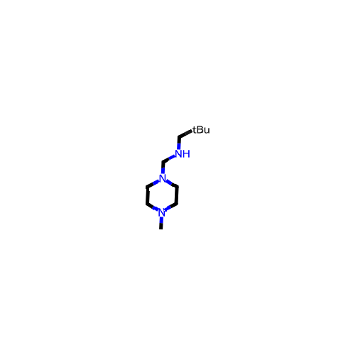 CN1CCN(CNCC(C)(C)C)CC1